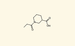 CCC(=O)N1CCCC(C(=O)O)C1